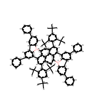 CC(C)(C)c1cc(C(C)(C)C)c(-c2cc3c4c(cc5c(-c6c(C(C)(C)C)cc(C(C)(C)C)cc6C(C)(C)C)cc6c7c(cc2c4c57)B2c4ccc(-c5ccccc5)cc4-c4cc(-c5ccccc5)cc-6c42)B2c4ccc(-c5ccccc5)cc4-c4cc(-c5ccccc5)cc-3c42)c(C(C)(C)C)c1